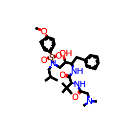 COc1ccc(S(=O)(=O)N(CC(C)C)CC(O)C(Cc2ccccc2)NC(=O)[C@@H](NC(=O)CN(C)C)C(C)(C)C)cc1